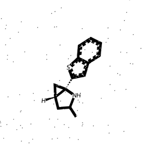 CC1C[C@@H]2C[C@@]2(c2cc3ccccc3s2)N1